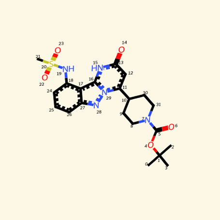 CC(C)(C)OC(=O)N1CCC(c2cc(=O)[nH]c3c4c(NS(C)(=O)=O)cccc4nn23)CC1